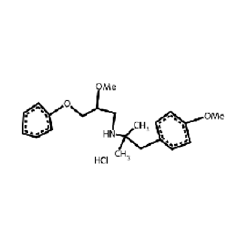 COc1ccc(CC(C)(C)NCC(COc2ccccc2)OC)cc1.Cl